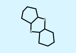 C1CCC2SC3CCCCC3SC2C1